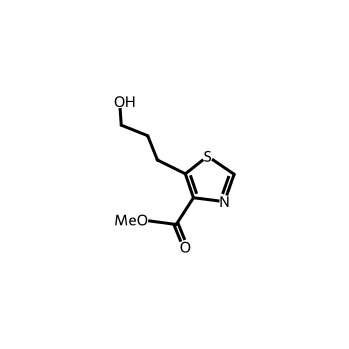 COC(=O)c1ncsc1CCCO